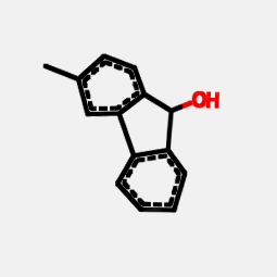 Cc1ccc2c(c1)-c1ccccc1C2O